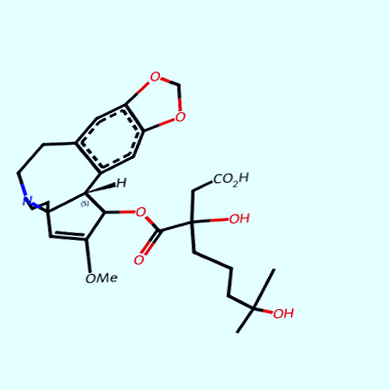 COC1=CC23CCCN2CCc2cc4c(cc2[C@@H]3C1OC(=O)C(O)(CCCC(C)(C)O)CC(=O)O)OCO4